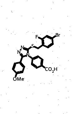 COc1ccc(-c2nnc(SCc3ccc(Br)cc3F)n2-c2ccc(C(=O)O)cc2)cc1